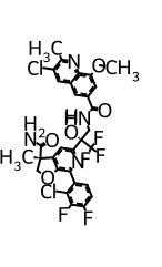 COc1cc(C(=O)NC[C@](O)(c2cc3c(c(-c4ccc(F)c(F)c4Cl)n2)OC[C@]3(C)C(N)=O)C(F)(F)F)cc2cc(Cl)c(C)nc12